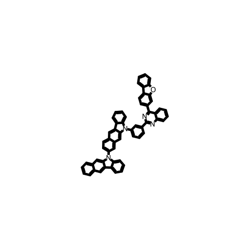 c1cc(-c2nc(-c3ccc4c(c3)oc3ccccc34)c3ccccc3n2)cc(-n2c3ccccc3c3cc4ccc(-n5c6ccccc6c6cc7ccccc7cc65)cc4cc32)c1